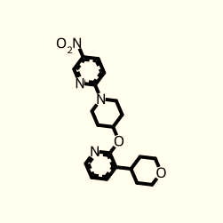 O=[N+]([O-])c1ccc(N2CCC(Oc3ncccc3C3CCOCC3)CC2)nc1